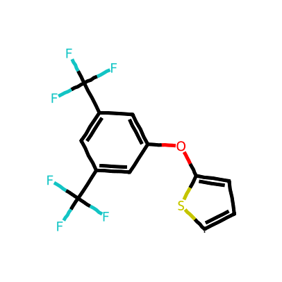 FC(F)(F)c1cc(Oc2cc[c]s2)cc(C(F)(F)F)c1